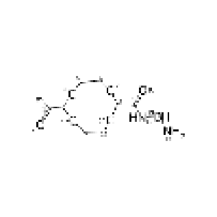 CC(=O)C1CCCCC(C(=O)NBN)CCCC1